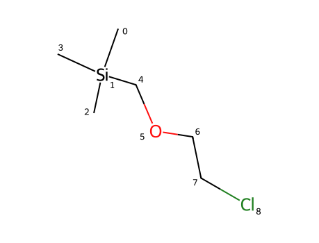 C[Si](C)(C)COCCCl